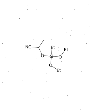 CCO[Si](CC)(OCC)OC(C)C#N